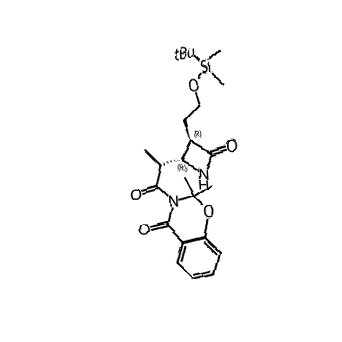 CC(C(=O)N1C(=O)c2ccccc2OC1(C)C)[C@H]1NC(=O)[C@@H]1CCO[Si](C)(C)C(C)(C)C